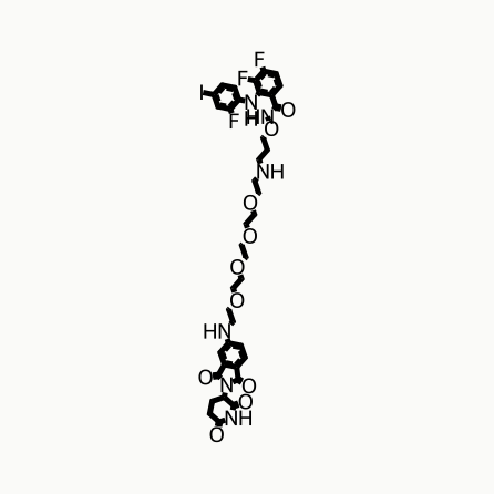 O=C1CCC(N2C(=O)c3ccc(NCCOCCOCCOCCOCCNCCCONC(=O)c4ccc(F)c(F)c4Nc4ccc(I)cc4F)cc3C2=O)C(=O)N1